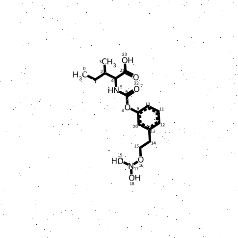 CCC(C)C(NC(=O)Oc1cccc(CCON(O)O)c1)C(=O)O